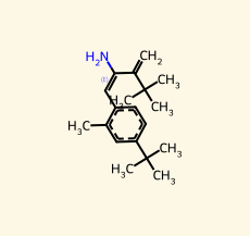 C=C(/C(N)=C\c1ccc(C(C)(C)C)cc1C)C(C)(C)C